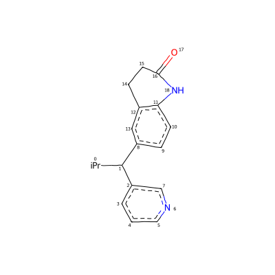 CC(C)C(c1cccnc1)c1ccc2c(c1)CCC(=O)N2